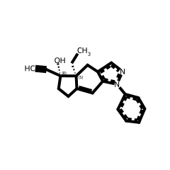 C#C[C@]1(O)CCC2=Cc3c(cnn3-c3ccccc3)C[C@@]21CC